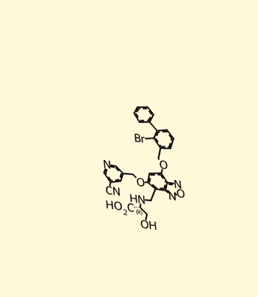 N#Cc1cncc(COc2cc(OCc3cccc(-c4ccccc4)c3Br)c3nonc3c2CN[C@H](CO)C(=O)O)c1